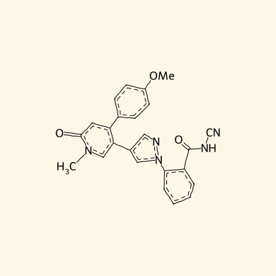 COc1ccc(-c2cc(=O)n(C)cc2-c2cnn(-c3ccccc3C(=O)NC#N)c2)cc1